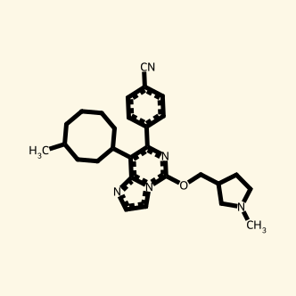 CC1CCCCC(c2c(-c3ccc(C#N)cc3)nc(OCC3CCN(C)C3)n3ccnc23)CC1